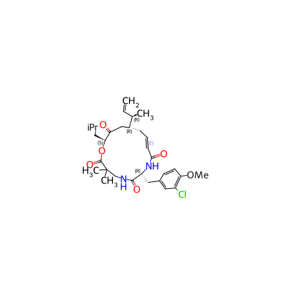 C=C[C@@H](C)[C@@H]1C/C=C/C(=O)N[C@H](Cc2ccc(OC)c(Cl)c2)C(=O)NCC(C)(C)C(=O)O[C@@H](CC(C)C)C(=O)C1